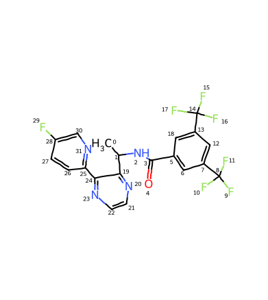 CC(NC(=O)c1cc(C(F)(F)F)cc(C(F)(F)F)c1)c1nccnc1-c1ccc(F)cn1